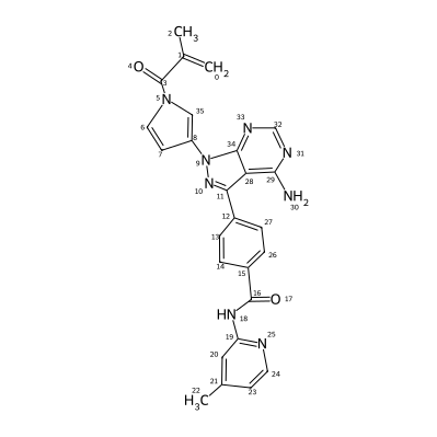 C=C(C)C(=O)n1ccc(-n2nc(-c3ccc(C(=O)Nc4cc(C)ccn4)cc3)c3c(N)ncnc32)c1